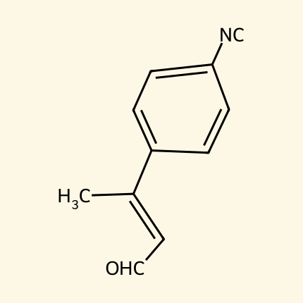 [C-]#[N+]c1ccc(C(C)=CC=O)cc1